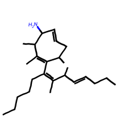 CCC/C=C/C(C)/C(C)=C(/CCCCC)C1=C(C)C(C)C(N)/C=C/CC1C